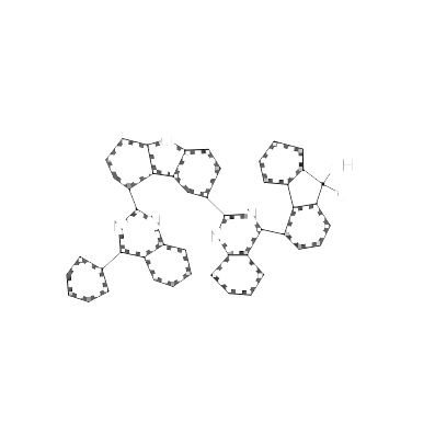 CC1(C)c2ccccc2-c2c(-c3nc(-c4ccc5oc6cccc(-c7nc(-c8ccccc8)c8ccccc8n7)c6c5c4)nc4ccccc34)cccc21